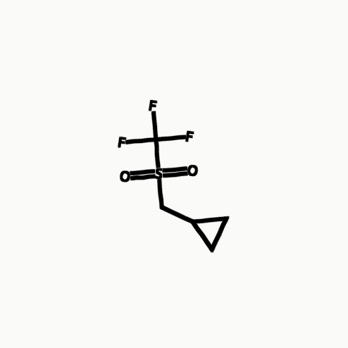 O=S(=O)(CC1CC1)C(F)(F)F